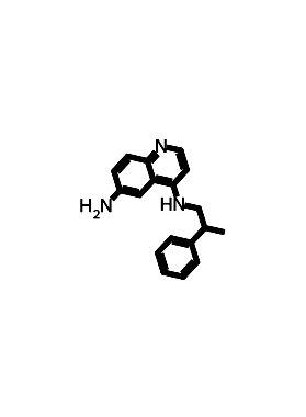 CC(CNc1ccnc2ccc(N)cc12)c1ccccc1